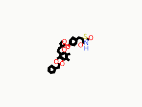 CCC1(C(=O)Oc2ccc(CC3SC(=O)NC3=O)cc2)CCc2c(C)c(OC(=O)Cc3ccccc3)c(C)c(C)c2O1